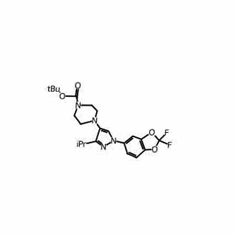 CC(C)c1nn(-c2ccc3c(c2)OC(F)(F)O3)cc1N1CCN(C(=O)OC(C)(C)C)CC1